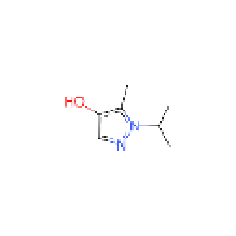 Cc1c(O)cnn1C(C)C